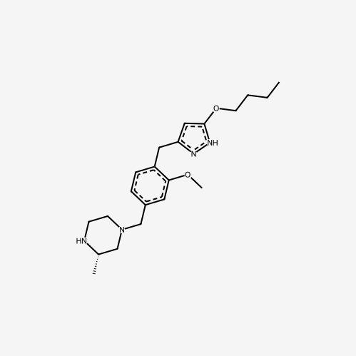 CCCCOc1cc(Cc2ccc(CN3CCN[C@@H](C)C3)cc2OC)n[nH]1